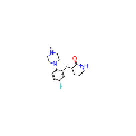 CN1CCN(c2ccc(F)cc2CC2CCCNC2=O)CC1